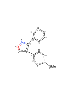 CSc1ccc(-c2conc2-c2ccccc2)cc1